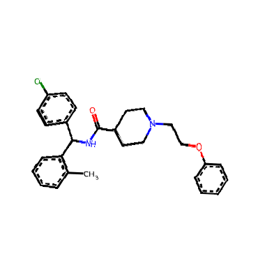 Cc1ccccc1C(NC(=O)C1CCN(CCOc2ccccc2)CC1)c1ccc(Cl)cc1